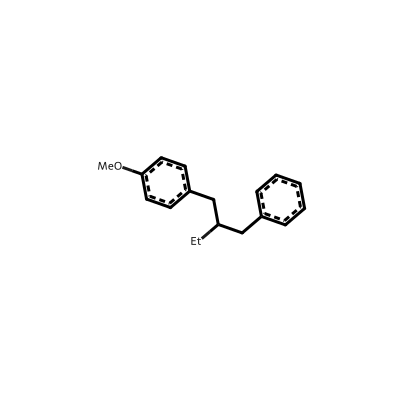 [CH2]CC(Cc1ccccc1)Cc1ccc(OC)cc1